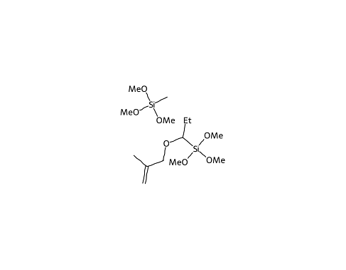 C=C(C)COC(CC)[Si](OC)(OC)OC.CO[Si](C)(OC)OC